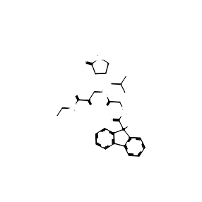 CCNC(=O)C(=O)[C@H](C[C@H]1CCNC1=O)NC(=O)[C@H](CC(C)C)NC(=O)C1(O)c2ccccc2-c2ccccc21